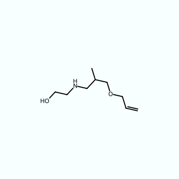 C=CCOCC(C)CNCCO